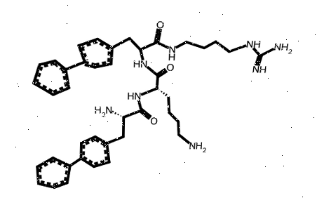 N=C(N)NCCCCNC(=O)C(Cc1ccc(-c2ccccc2)cc1)NC(=O)[C@H](CCCCN)NC(=O)[C@@H](N)Cc1ccc(-c2ccccc2)cc1